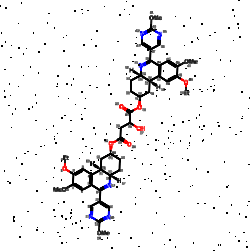 CCOc1cc2c(cc1OC)C(c1cnc(OC)nc1)=N[C@H]1CC[C@H](OC(=O)CC(O)C(=O)O[C@H]3CC[C@@H]4N=C(c5cnc(OC)nc5)c5cc(OC)c(OCC)cc5[C@@H]4C3)C[C@@H]21